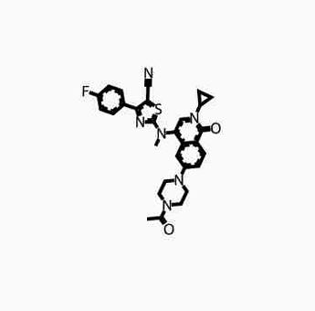 CC(=O)N1CCN(c2ccc3c(=O)n(C4CC4)cc(N(C)c4nc(-c5ccc(F)cc5)c(C#N)s4)c3c2)CC1